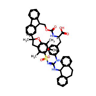 Cc1c(C)c(S(=O)(=O)/N=C(\Nc2cccc(C[C@@H](NC(=O)OCC3c4ccccc4-c4ccccc43)C(=O)O)c2)NC2c3ccccc3CCc3ccccc32)c(C)c2c1OC(C)(C)C2